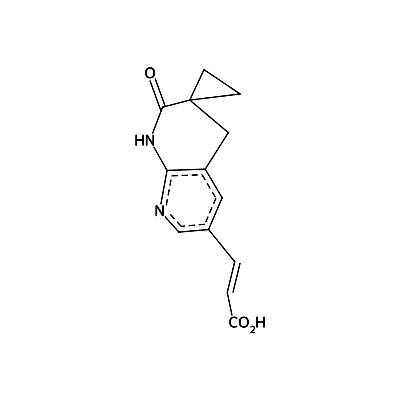 O=C(O)/C=C/c1cnc2c(c1)CC1(CC1)C(=O)N2